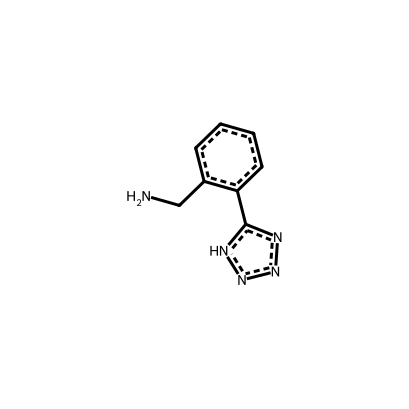 NCc1ccccc1-c1nnn[nH]1